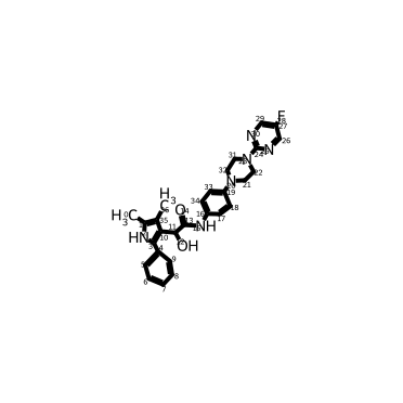 Cc1[nH]c(-c2ccccc2)c(C(O)C(=O)Nc2ccc(N3CCN(c4ncc(F)cn4)CC3)cc2)c1C